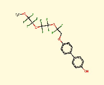 Oc1ccc(-c2ccc(OCC(F)(F)OC(F)(F)C(F)(F)OC(F)(F)C(F)(F)OC(F)(F)F)cc2)cc1